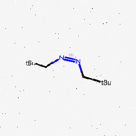 CC(C)(C)C/N=N\CC(C)(C)C